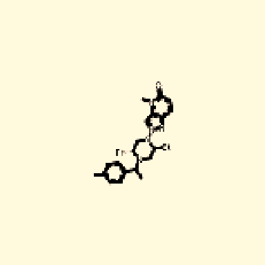 CC[C@@H]1CN(n2cc3c(ccc(=O)n3C)n2)[C@@H](CC)CN1C(C)c1ccc(C)cc1